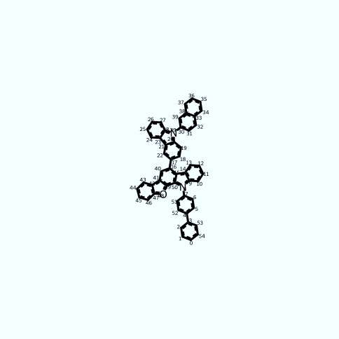 c1ccc(-c2ccc(-n3c4ccccc4c4c(-c5ccc6c(c5)c5ccccc5n6-c5ccc6ccccc6c5)cc5c6ccccc6oc5c43)cc2)cc1